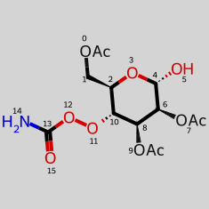 CC(=O)OC[C@H]1O[C@H](O)[C@@H](OC(C)=O)[C@@H](OC(C)=O)[C@@H]1OOC(N)=O